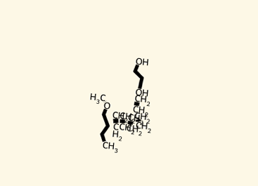 C=C.C=C.C=C.C=C.C=C.CCCCOC.OCCO